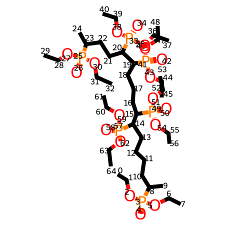 CCOP(=O)(OCC)C(C)CCCCC(C(CCCC(C(CCC(C)P(=O)(OCC)OCC)P(=O)(OCC)OCC)P(=O)(OCC)OCC)P(=O)(OCC)OCC)P(=O)(OCC)OCC